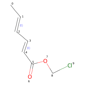 C/C=C/C=C/C(=O)OCCl